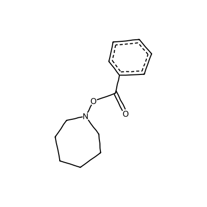 O=C(ON1CCCCCC1)c1ccccc1